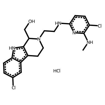 CNc1nc(NCCN2CCc3c([nH]c4ccc(Cl)cc34)C2CO)ccc1Cl.Cl